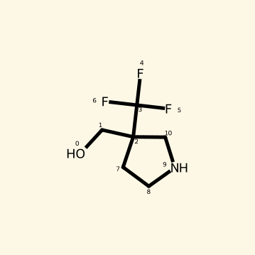 OCC1(C(F)(F)F)CCNC1